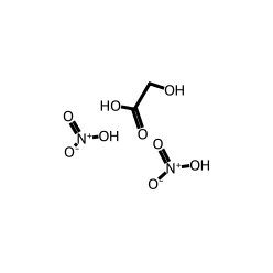 O=C(O)CO.O=[N+]([O-])O.O=[N+]([O-])O